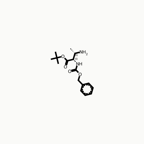 C[C@H](N)[C@H](NC(=O)OCc1ccccc1)C(=O)OC(C)(C)C